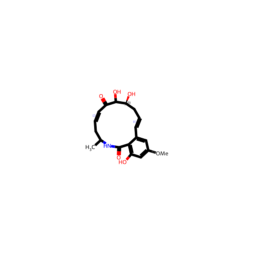 COc1cc(O)c2c(c1)/C=C/C[C@H](O)C(O)C(=O)/C=C\CC(C)NC2=O